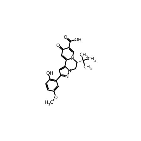 COc1ccc(O)c(-c2cc3n(n2)C[C@@H](C(C)(C)C)n2cc(C(=O)O)c(=O)cc2-3)c1